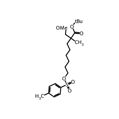 COCC(C)(CCCCCCOS(=O)(=O)c1ccc(C)cc1)C(=O)OC(C)(C)C